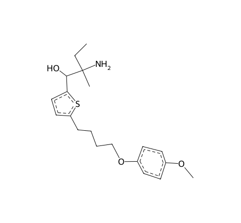 CCC(C)(N)C(O)c1ccc(CCCCOc2ccc(OC)cc2)s1